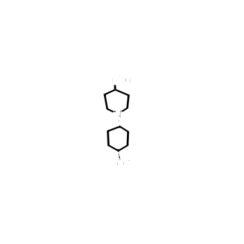 CCCCC1CCN([C@H]2CC[C@H](OC(C)=O)CC2)CC1